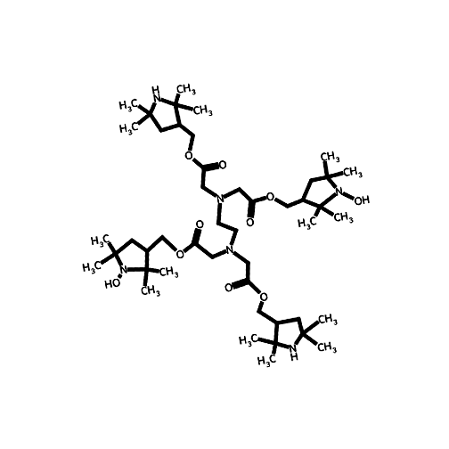 CC1(C)CC(COC(=O)CN(CCN(CC(=O)OCC2CC(C)(C)NC2(C)C)CC(=O)OCC2CC(C)(C)N(O)C2(C)C)CC(=O)OCC2CC(C)(C)N(O)C2(C)C)C(C)(C)N1